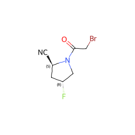 N#C[C@@H]1C[C@@H](F)CN1C(=O)CBr